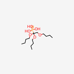 CCCCOCC(OCCCC)(OCCCC)[PH](O)(O)O